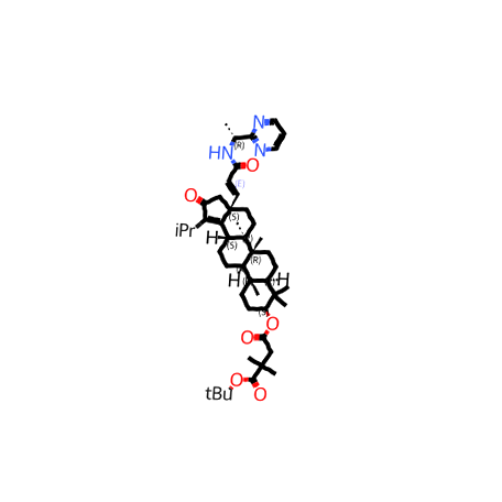 CC(C)C1=C2[C@H]3CC[C@@H]4[C@@]5(C)CC[C@H](OC(=O)CC(C)(C)C(=O)OC(C)(C)C)C(C)(C)[C@@H]5CC[C@@]4(C)[C@]3(C)CC[C@@]2(/C=C/C(=O)N[C@H](C)c2ncccn2)CC1=O